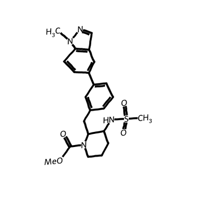 COC(=O)N1CCCC(NS(C)(=O)=O)C1Cc1cccc(-c2ccc3c(cnn3C)c2)c1